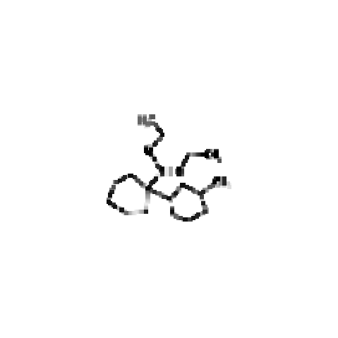 CCO[SiH](OCC)C1(C2CCCC(C)C2)CCCCC1